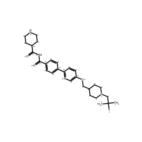 CC(C)(F)CN1CCC(COc2ccc(-c3ccc(C(=O)NC(=O)C4CCNCC4)cc3)nc2)CC1